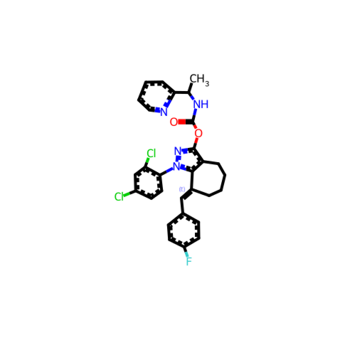 CC(NC(=O)Oc1nn(-c2ccc(Cl)cc2Cl)c2c1CCCC/C2=C\c1ccc(F)cc1)c1ccccn1